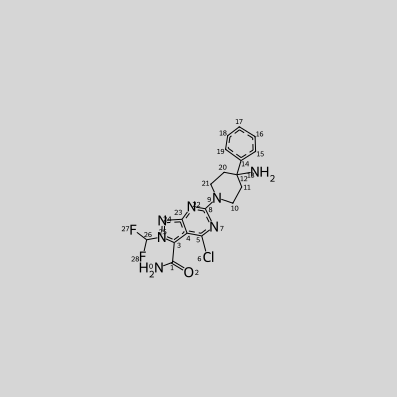 NC(=O)c1c2c(Cl)nc(N3CCC(N)(c4ccccc4)CC3)nc2nn1C(F)F